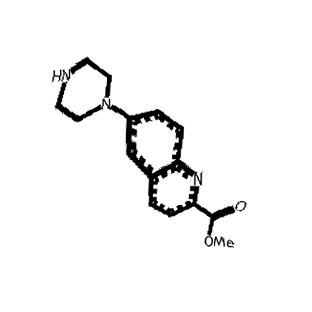 COC(=O)c1ccc2cc(N3CCNCC3)ccc2n1